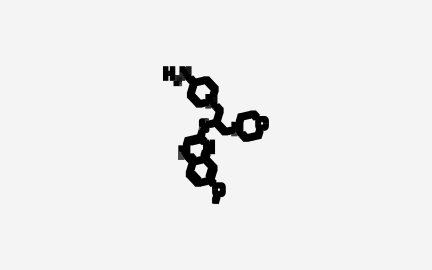 COc1ccc2ncc(SC(CN3CCOCC3)CN3CCC(N)CC3)nc2c1